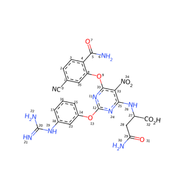 N#Cc1ccc(C(N)=O)c(Oc2nc(Oc3cccc(NC(=N)N)c3)nc(NC(CC(N)=O)C(=O)O)c2[N+](=O)[O-])c1